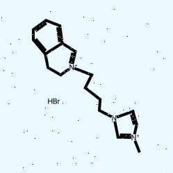 Br.C[n+]1ccn(CCCC[N+]2=Cc3ccccc3CC2)c1